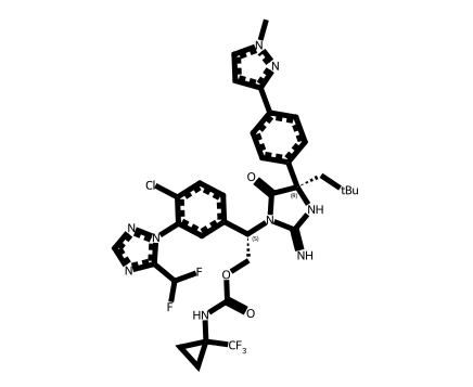 Cn1ccc(-c2ccc([C@@]3(CC(C)(C)C)NC(=N)N([C@H](COC(=O)NC4(C(F)(F)F)CC4)c4ccc(Cl)c(-n5ncnc5C(F)F)c4)C3=O)cc2)n1